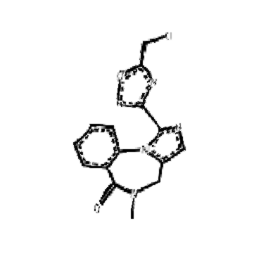 CN1Cc2cnc(-c3noc(CCl)n3)n2-c2ccccc2C1=O